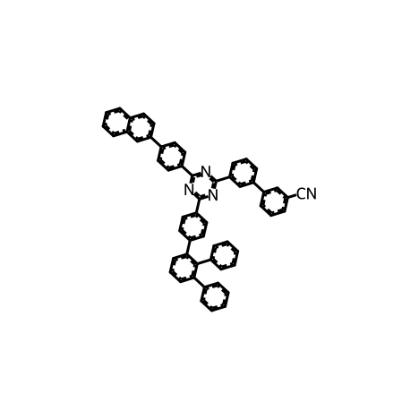 N#Cc1cccc(-c2cccc(-c3nc(-c4ccc(-c5ccc6ccccc6c5)cc4)nc(-c4ccc(-c5cccc(-c6ccccc6)c5-c5ccccc5)cc4)n3)c2)c1